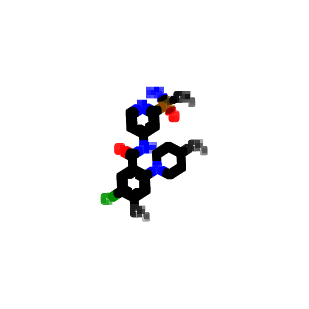 C[S@@](=N)(=O)c1cc(NC(=O)c2cc(Cl)c(C(F)(F)F)cc2N2CCC(C(F)(F)F)CC2)ccn1